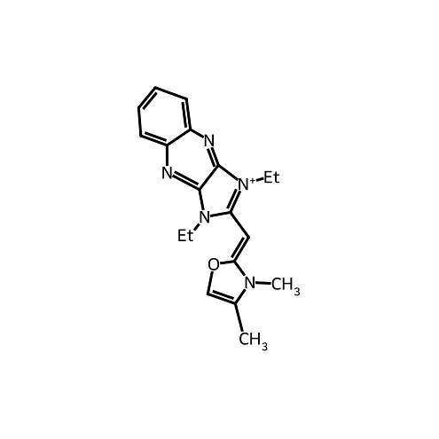 CCn1c(C=C2OC=C(C)N2C)[n+](CC)c2nc3ccccc3nc21